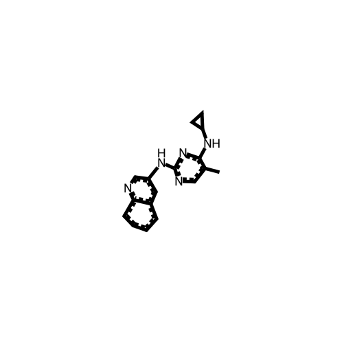 Cc1cnc(Nc2cnc3ccccc3c2)nc1NC1CC1